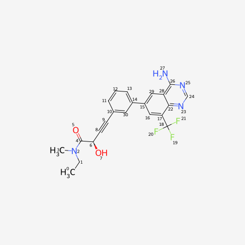 CCN(C)C(=O)[C@H](O)C#Cc1cccc(-c2cc(C(F)(F)F)c3ncnc(N)c3c2)c1